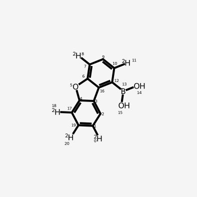 [2H]c1cc2c(oc3c([2H])cc([2H])c(B(O)O)c32)c([2H])c1[2H]